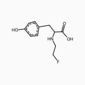 O=C(O)C(Cc1ccc(O)cc1)NCCF